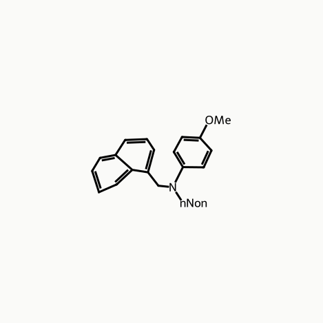 CCCCCCCCCN(Cc1cccc2ccccc12)c1ccc(OC)cc1